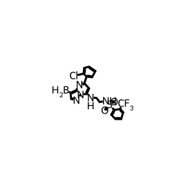 Bc1cnn2c(NCCNS(=O)(=O)c3ccccc3C(F)(F)F)cc(-c3ccccc3Cl)nc12